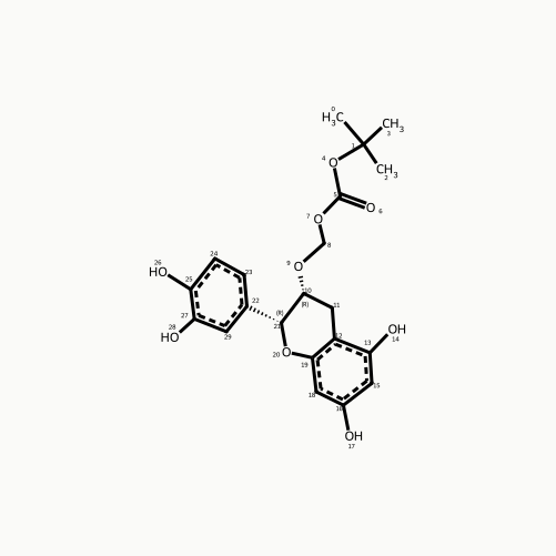 CC(C)(C)OC(=O)OCO[C@@H]1Cc2c(O)cc(O)cc2O[C@@H]1c1ccc(O)c(O)c1